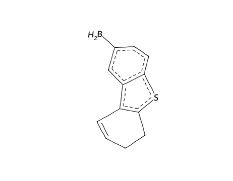 Bc1ccc2sc3c(c2c1)C=CCC3